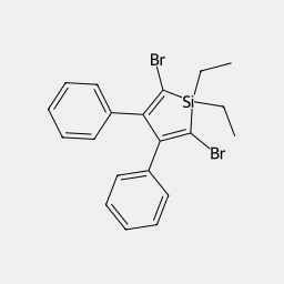 CC[Si]1(CC)C(Br)=C(c2ccccc2)C(c2ccccc2)=C1Br